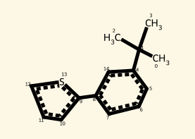 CC(C)(C)c1cccc(-c2cccs2)c1